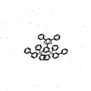 c1ccc(-c2cccc([Si](c3ccccc3)(c3ccccc3)c3cc(-c4nc(-c5ccccc5)cc(-c5ccccc5)n4)cc([Si](c4ccccc4)(c4ccccc4)c4cccc(-c5ccccc5)c4)c3)c2)cc1